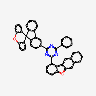 c1ccc(-c2nc(-c3ccc4c(c3)-c3ccccc3C43c4ccccc4Oc4ccccc43)nc(-c3cccc4oc5cc6ccccc6cc5c34)n2)cc1